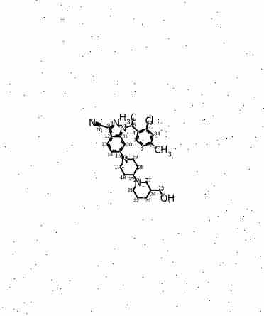 Cc1ccc(C(C)n2nc(C#N)c3ccc(N4CCC(N5CCCC(CO)C5)CC4)cc32)c(Cl)c1